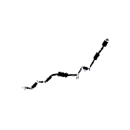 N#CC#C/N=N/NC#C/C=N/N=N/N